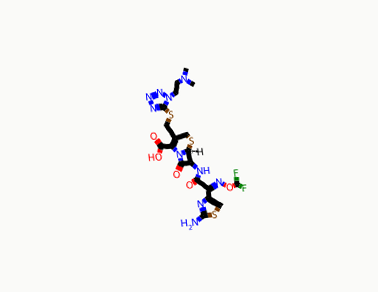 CN(C)CCn1nnnc1SCC1=C(C(=O)O)N2C(=O)C(NC(=O)C(=NOC(F)F)c3csc(N)n3)[C@@H]2SC1